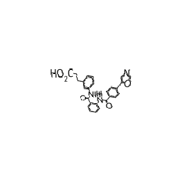 O=C(O)CCc1cccc(NC(=O)c2ccccc2NC(=O)c2ccc(-c3cnco3)cc2)c1